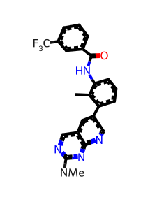 CNc1ncc2cc(-c3cccc(NC(=O)c4cccc(C(F)(F)F)c4)c3C)cnc2n1